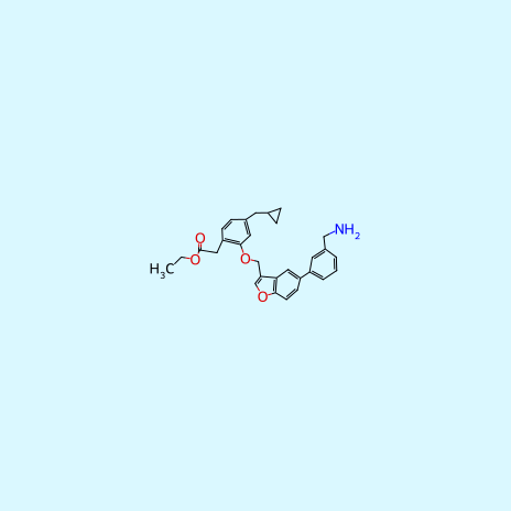 CCOC(=O)Cc1ccc(CC2CC2)cc1OCc1coc2ccc(-c3cccc(CN)c3)cc12